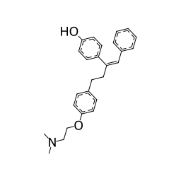 CN(C)CCOc1ccc(CC/C(=C/c2ccccc2)c2ccc(O)cc2)cc1